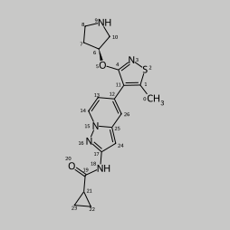 Cc1snc(O[C@H]2CCNC2)c1-c1ccn2nc(NC(=O)C3CC3)cc2c1